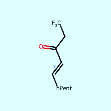 CCCCC/C=C/C(=O)CC(F)(F)F